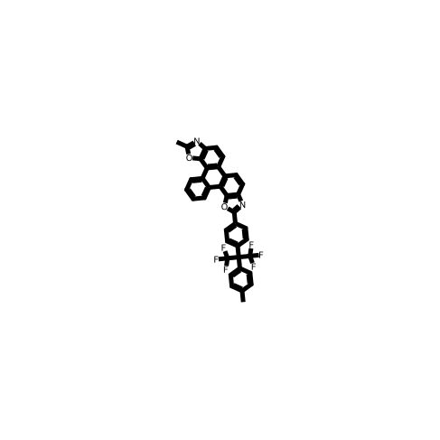 Cc1ccc(C(c2ccc(-c3nc4ccc5c6ccc7nc(C)oc7c6c6ccccc6c5c4o3)cc2)(C(F)(F)F)C(F)(F)F)cc1